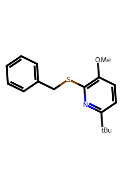 COc1ccc(C(C)(C)C)nc1SCc1ccccc1